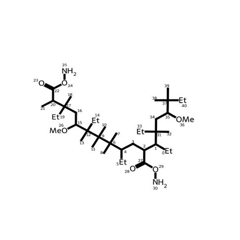 CCC(C(CC(CC)C(C)(C)C(C)(C)C(C)(CC)C(CC(C)(CC)C(C)C(=O)ON)OC)C(=O)ON)C(C)(CC)CC(OC)C(C)(C)CC